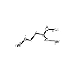 CCCOCCC(O[SiH3])OCCC